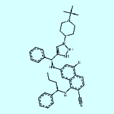 CCCC(Nc1c(C#N)cnc2c(Cl)cc(N[C@H](C3=CN(C4CCN(C(C)(C)C)CC4)NN3)c3ccccc3)cc12)c1ccccc1